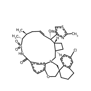 CO[C@@]1(c2csc(C)n2)/C=C/C[C@H](C)[C@@H](C)S(=O)(=O)NC(=O)c2ccc3c(c2)N(C[C@@H]2CC[C@H]21)C[C@@]1(CCCc2cc(Cl)ccc21)CO3